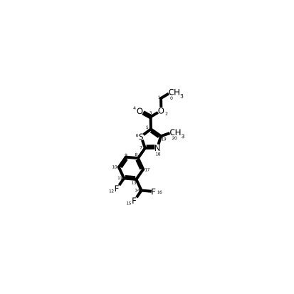 CCOC(=O)c1sc(-c2ccc(F)c(C(F)F)c2)nc1C